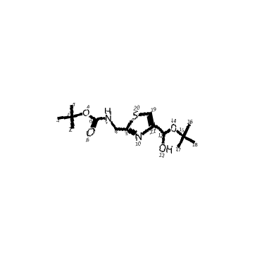 CC(C)(C)OC(=O)NCc1nc(C(O)OC(C)(C)C)cs1